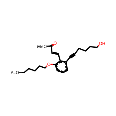 COC(=O)/C=C/c1c(C#CCCCCO)cccc1OCCCCCOC(C)=O